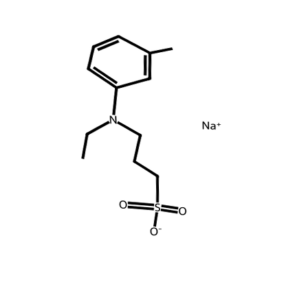 CCN(CCCS(=O)(=O)[O-])c1cccc(C)c1.[Na+]